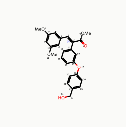 COC(=O)/C(=C/c1cc(OC)cc(OC)c1)c1cccc(Oc2ccc(CO)cc2)c1